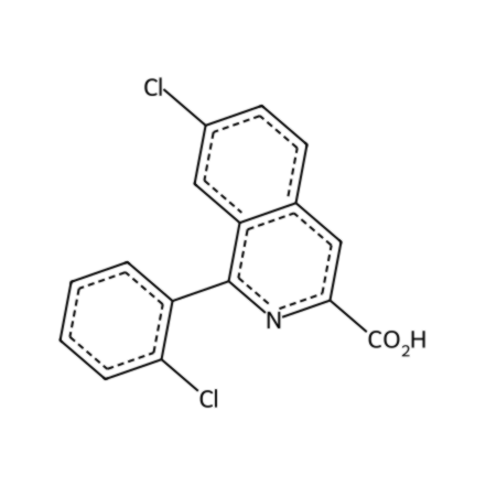 O=C(O)c1cc2ccc(Cl)cc2c(-c2ccccc2Cl)n1